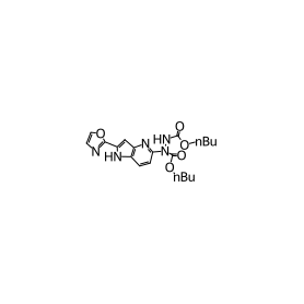 CCCCOC(=O)NN(C(=O)OCCCC)c1ccc2[nH]c(-c3ncco3)cc2n1